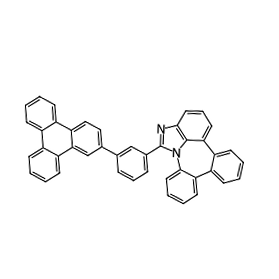 c1cc(-c2ccc3c4ccccc4c4ccccc4c3c2)cc(-c2nc3cccc4c3n2-c2ccccc2-c2ccccc2-4)c1